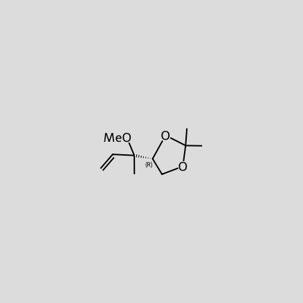 C=CC(C)(OC)[C@H]1COC(C)(C)O1